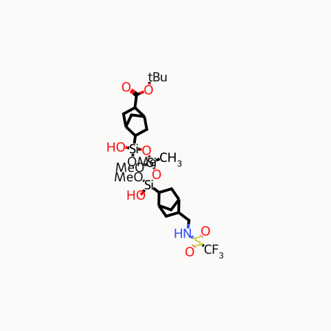 CO[Si](C)(O[Si](O)(OC)C1CC2CC1CC2CNS(=O)(=O)C(F)(F)F)O[Si](O)(OC)C1CC2CC1CC2C(=O)OC(C)(C)C